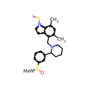 CN[S+]([O-])c1cccc(C2CCCCN2Cc2c(C)cc(C)c3c2ccn3SI)c1